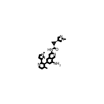 Cc1ccnc(-c2ccn(C)n2)c1-c1cc(N)c2cnc(NC(=O)[C@@H]3C[C@H]3c3cnn(C)c3)cc2c1